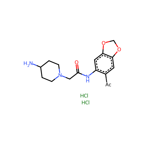 CC(=O)c1cc2c(cc1NC(=O)CN1CCC(N)CC1)OCO2.Cl.Cl